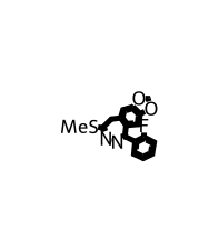 CSC1=NN=C(c2ccccc2F)c2cc3c(cc2C1)OCO3